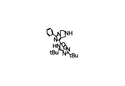 CC(C)(C)c1noc([C@@H](NC(=O)c2nc(-c3ccccc3)n3c2CNCC3)C(C)(C)C)n1